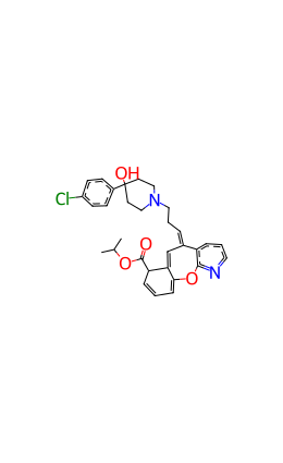 CC(C)OC(=O)C1C=CC=C2Oc3ncccc3C(=CCCN3CCC(O)(c4ccc(Cl)cc4)CC3)C=C21